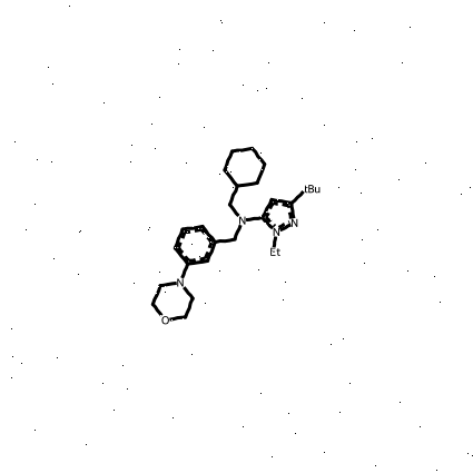 CCn1nc(C(C)(C)C)cc1N(Cc1cccc(N2CCOCC2)c1)CC1CCCCC1